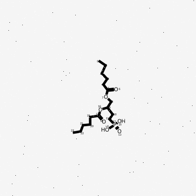 CCCCCC(=O)OCC(CCP(=O)(O)O)OC(=O)CCCCC